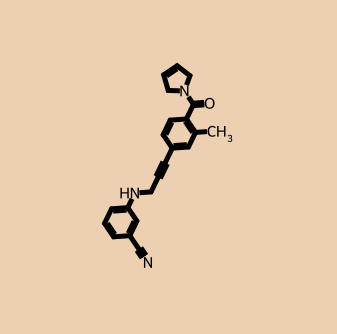 Cc1cc(C#CCNc2cccc(C#N)c2)ccc1C(=O)N1CC=CC1